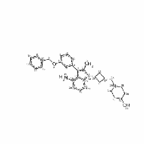 Cc1c(-c2cccc(OCc3ccccc3)c2)c2c(N)ncnc2n1[C@H]1C[C@@H](CN2CCC(O)CC2)C1